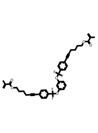 C=C(C)C(=O)OCCCCC#Cc1ccc(C(F)(F)Oc2cccc(OC(F)(F)c3ccc(C#CCCCCOC(=O)C(=C)C)cc3)c2)cc1